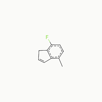 Cc1ccc(F)c2c1C=CC2